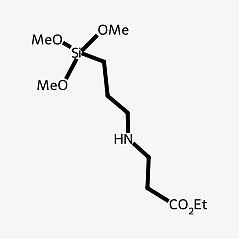 CCOC(=O)CCNCCC[Si](OC)(OC)OC